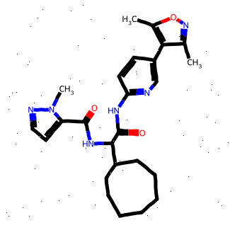 Cc1noc(C)c1-c1ccc(NC(=O)C(NC(=O)c2ccnn2C)C2CCCCCCC2)nc1